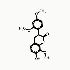 COc1ccc(C2Cc3ccc(O)c(OC)c3OC2=O)c(OC)c1